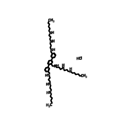 CCCCCCNCCCNCCCNCc1cccc(-c2ccc(-c3cccc(CNCCCNCCCNCCCCCC)c3)c(CNCCCNCCCNCCCCCC)c2)c1.Cl